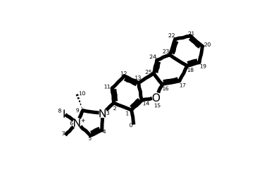 Cc1c(N2C=C[N+](C)(I)[C@@H]2C)ccc2c1oc1cc3ccccc3cc12